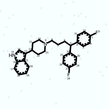 Fc1ccc(C(CCCN2CCC(c3c[nH]c4ccccc34)CC2)c2ccc(F)cc2)cc1